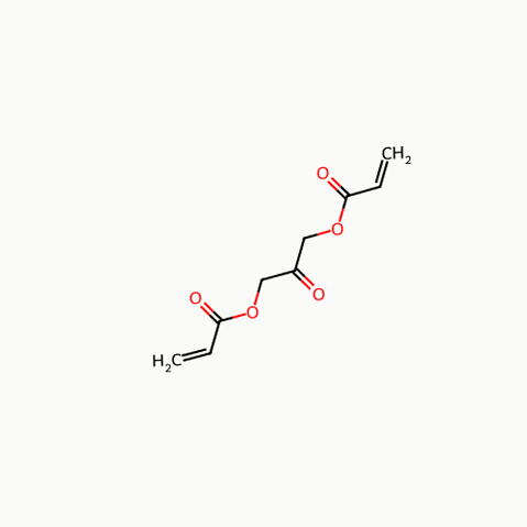 C=CC(=O)OCC(=O)COC(=O)C=C